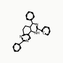 c1ccc(C2=NC(c3ccccc3)C3CCc4nc(-c5ccccc5)ncc4C3N2)cc1